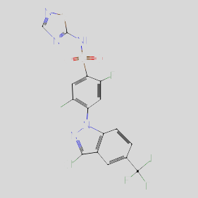 O=S(=O)(Nc1ncns1)c1cc(F)c(-n2nc(Cl)c3cc(C(F)(F)F)ccc32)cc1F